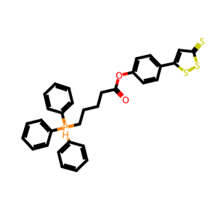 O=C(CCCC[PH](c1ccccc1)(c1ccccc1)c1ccccc1)Oc1ccc(-c2cc(=S)ss2)cc1